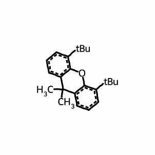 CC(C)(C)c1cccc2c1Oc1c(C(C)(C)C)cccc1C2(C)C